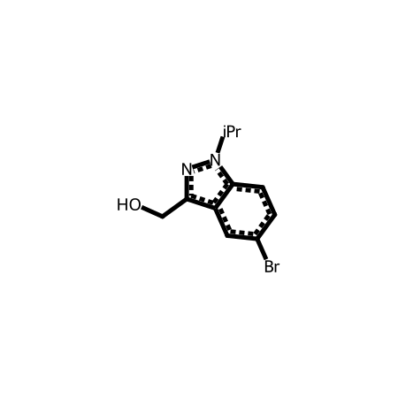 CC(C)n1nc(CO)c2cc(Br)ccc21